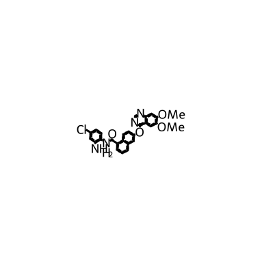 COc1cc2ncnc(Oc3ccc4c(C(=O)Nc5ccc(Cl)cc5N)cccc4c3)c2cc1OC